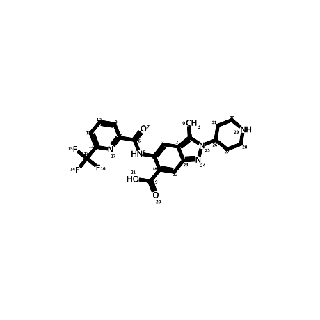 Cc1c2cc(NC(=O)c3cccc(C(F)(F)F)n3)c(C(=O)O)cc2nn1C1CCNCC1